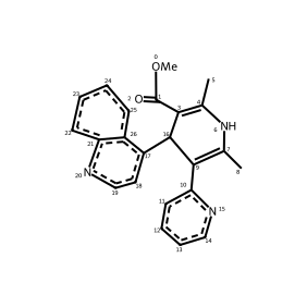 COC(=O)C1=C(C)NC(C)=C(c2ccccn2)C1c1ccnc2ccccc12